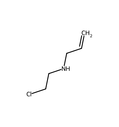 C=CCNCCCl